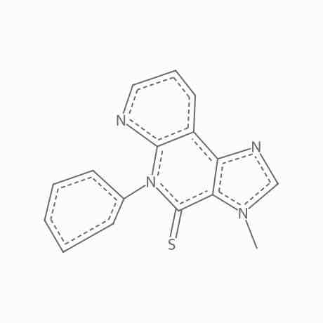 Cn1cnc2c3cccnc3n(-c3ccccc3)c(=S)c21